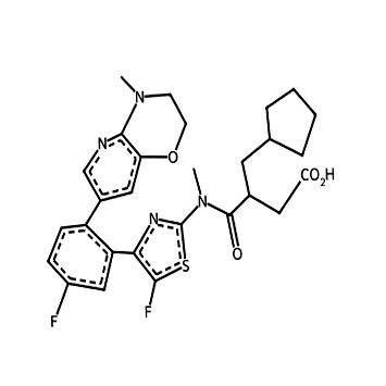 CN1CCOc2cc(-c3ccc(F)cc3-c3nc(N(C)C(=O)C(CC(=O)O)CC4CCCC4)sc3F)cnc21